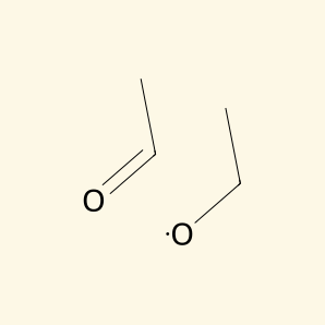 CC=O.CC[O]